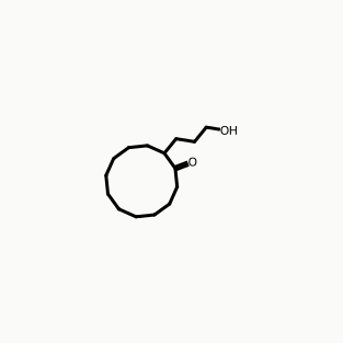 O=C1CCCCCCCCCCC1CCCO